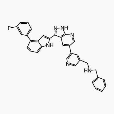 Fc1cccc(-c2cccc3[nH]c(-c4n[nH]c5ncc(-c6cncc(CNCc7ccccc7)c6)cc45)cc23)c1